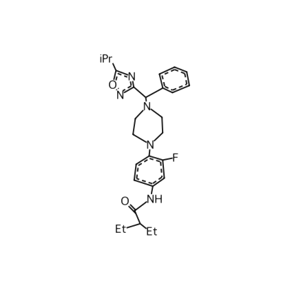 CCC(CC)C(=O)Nc1ccc(N2CCN(C(c3ccccc3)c3noc(C(C)C)n3)CC2)c(F)c1